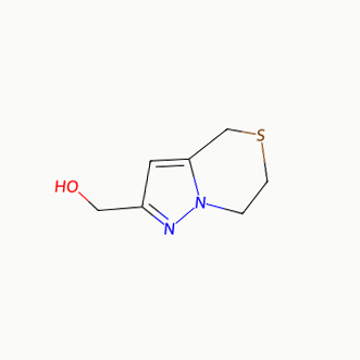 OCc1cc2n(n1)CCSC2